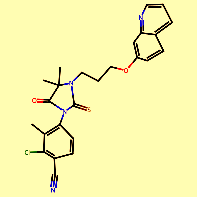 Cc1c(N2C(=O)C(C)(C)N(CCCOc3ccc4cccnc4c3)C2=S)ccc(C#N)c1Cl